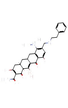 CN(C)c1c(CNCCc2ccccc2)cc(O)c2c1CC1C[C@H]3CC(O)=C(C(N)=O)C(=O)[C@@]3(O)C(O)=C1C2=O